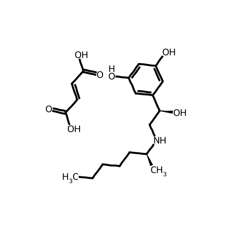 CCCCC[C@H](C)NC[C@H](O)c1cc(O)cc(O)c1.O=C(O)C=CC(=O)O